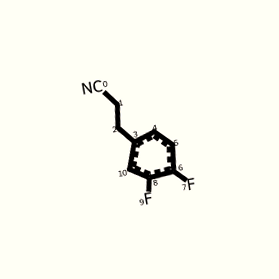 N#CC[CH]c1ccc(F)c(F)c1